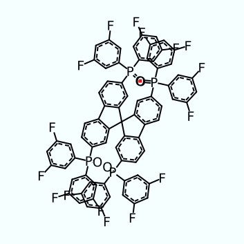 O=P(c1cc(F)cc(F)c1)(c1cc(F)cc(F)c1)c1ccc2c(c1)C1(c3cc(P(=O)(c4cc(F)cc(F)c4)c4cc(F)cc(F)c4)ccc3-2)c2cc(P(=O)(c3cc(F)cc(F)c3)c3cc(F)cc(F)c3)ccc2-c2ccc(P(=O)(c3cc(F)cc(F)c3)c3cc(F)cc(F)c3)cc21